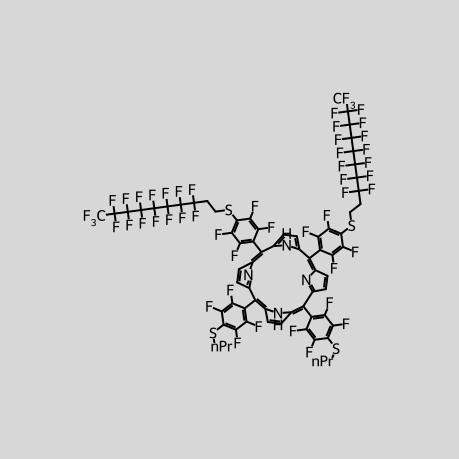 CCCSc1c(F)c(F)c(-c2c3nc(c(-c4c(F)c(F)c(SCCC(F)(F)C(F)(F)C(F)(F)C(F)(F)C(F)(F)C(F)(F)C(F)(F)C(F)(F)F)c(F)c4F)c4ccc([nH]4)c(-c4c(F)c(F)c(SCCC(F)(F)C(F)(F)C(F)(F)C(F)(F)C(F)(F)C(F)(F)C(F)(F)C(F)(F)F)c(F)c4F)c4nc(c(-c5c(F)c(F)c(SCCC)c(F)c5F)c5ccc2[nH]5)C=C4)C=C3)c(F)c1F